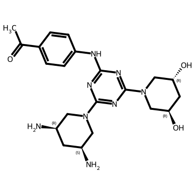 CC(=O)c1ccc(Nc2nc(N3C[C@H](N)C[C@H](N)C3)nc(N3C[C@H](O)C[C@@H](O)C3)n2)cc1